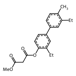 CCc1cc(-c2ccc(OC(=O)CC(=O)OC)c(CC)c2)ccc1C